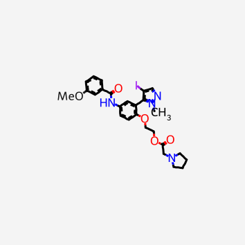 COc1cccc(C(=O)Nc2ccc(OCCOC(=O)CN3CCCC3)c(-c3c(I)cnn3C)c2)c1